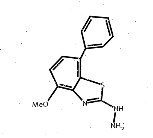 COc1ccc(-c2ccccc2)c2sc(NN)nc12